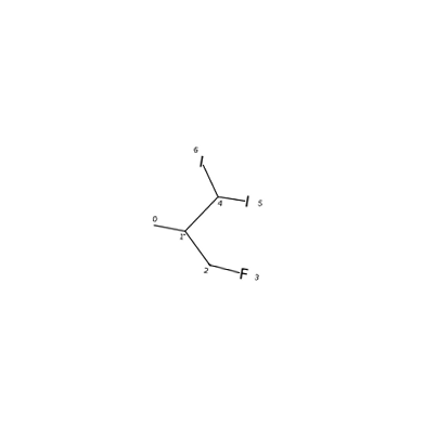 C[C](CF)C(I)I